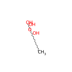 CCCCCCCCCCCCC(O)CCOCCC(O)CO